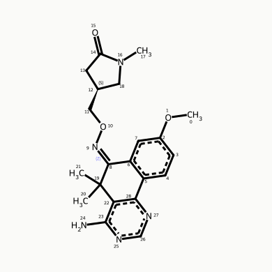 COc1ccc2c(c1)/C(=N\OC[C@H]1CC(=O)N(C)C1)C(C)(C)c1c(N)ncnc1-2